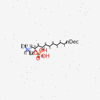 CCCCCCCCCCCCCCCCCCC(C[N+](C)(CC)CC)OP(=O)(O)O